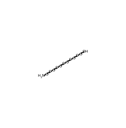 NCCOCCOCCOCCOCCOCCOCCOCCOCCOCCOCCOCCO